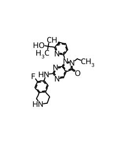 CCn1c(=O)c2cnc(Nc3cc4c(cc3F)CNCC4)nc2n1-c1cccc(C(C)(C)O)n1